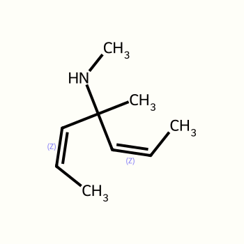 C/C=C\C(C)(/C=C\C)NC